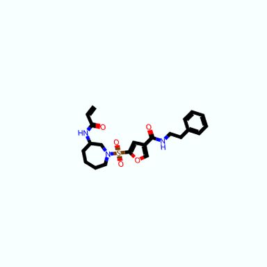 C=CC(=O)NC1CCCCN(S(=O)(=O)c2cc(C(=O)NCCc3ccccc3)co2)C1